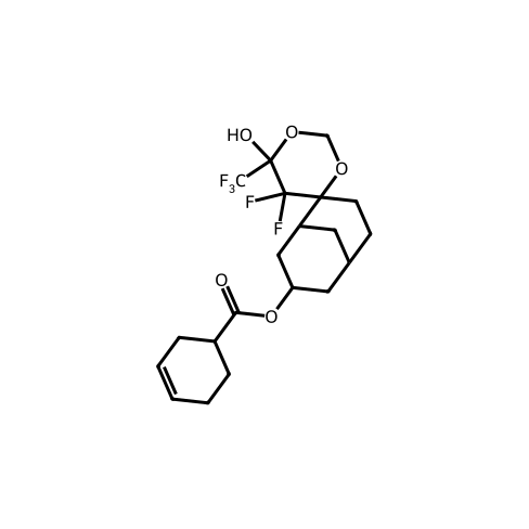 O=C(OC1CC2CCC3(OCOC(O)(C(F)(F)F)C3(F)F)C(C2)C1)C1CC=CCC1